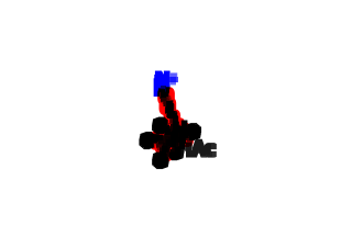 CC(=O)N[C@H]1[C@H](OCc2ccccc2)O[C@H](COCc2ccccc2)[C@@H](O[C@@H]2O[C@@H]3CO[C@@H](c4ccccc4)O[C@H]3[C@H](OCCOCCCOCCOCCN=[N+]=[N-])[C@@H]2OCc2ccccc2)[C@@H]1OCc1ccccc1